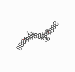 Nc1cc2c3c(cc(N)c(CN4CC5CCC6C7CCC8C9CCCC%10CCCC(C%11CCC(C%12CCC(C4)C5C6%12)C7C8%11)C%109)c3c1)N=C1c3ccc4c5ccc6c(=O)n7c8cc([N+](=O)[O-])cc9c(CN%10CC%11CCC%12C%13CCC%14C%15CCCC%16CCCC(C%17CCC(C%18CCC(C%10)C%11C%12%18)C%13C%14%17)C%16%15)c([N+](=O)[O-])cc(nc7c7ccc(c%10ccc(c3c4%10)C(=O)C12)c5c67)c98